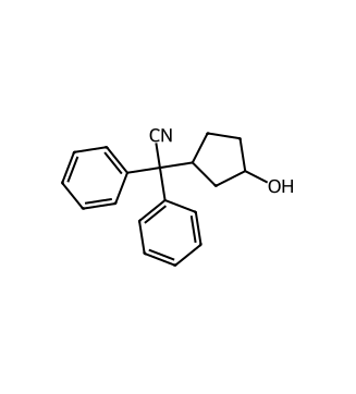 N#CC(c1ccccc1)(c1ccccc1)C1CCC(O)C1